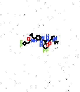 CC(C)n1nccc1C(=O)N[C@H](c1nc2ccc(C(NC(=O)CC3CC(F)(F)C3)C3CC3)cc2[nH]1)[C@H]1CCC(F)(F)CO1